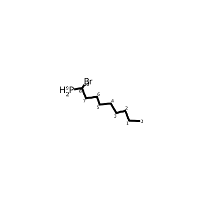 CCCCCCCCC(P)Br